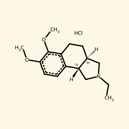 CCN1C[C@@H]2CCc3c(ccc(OC)c3OC)[C@H]2C1.Cl